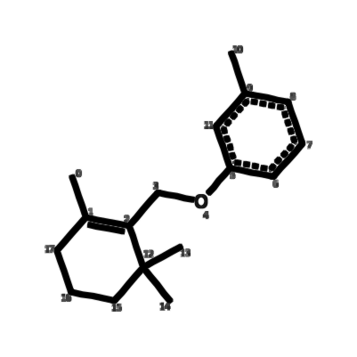 CC1=C(COc2cccc(C)c2)C(C)(C)CCC1